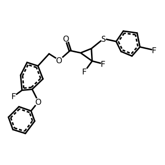 O=C(OCc1ccc(F)c(Oc2ccccc2)c1)C1C(Sc2ccc(F)cc2)C1(F)F